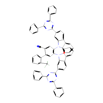 N#Cc1cc(-n2c3ccccc3c3ccc(-c4nc(-c5ccccc5)nc(-c5ccccc5)n4)cc32)c(-n2c3ccccc3c3ccc(-c4nc(-c5ccccc5)nc(-c5ccccc5)n4)cc32)cc1-c1ccccc1C(F)(F)F